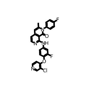 Cc1cc2ccnc(Nc3ccc(Oc4ccncc4Cl)c(F)c3)c2c(=O)n1-c1ccc(F)cc1